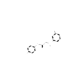 O=C(C[S+]([O-])c1cccc(Cl)c1)Nc1ccc(F)cc1